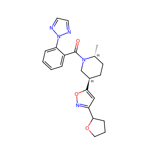 C[C@@H]1CC[C@@H](c2cc(C3CCCO3)no2)CN1C(=O)c1ccccc1-n1nccn1